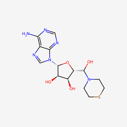 Nc1ncnc2c1ncn2[C@@H]1O[C@H](C(O)N2CCSCC2)[C@@H](O)[C@H]1O